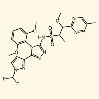 COc1cccc(OC)c1-n1c(NS(=O)(=O)C(C)C(OC)c2ncc(C)cn2)nnc1-c1ccn(C(F)F)n1